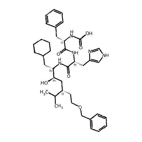 CC(C)[C@@H](CCOCc1ccccc1)C[C@@H](O)[C@H](CC1CCCCC1)NC(=O)[C@@H](Cc1c[nH]cn1)NC(=O)[C@H](Cc1ccccc1)NC(=O)O